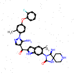 Cc1cc2cc(C(=O)c3cnn(-c4ccc(Oc5ccccc5F)cc4C)c3N)[nH]c2cc1N1C(=N)C2(CCNCC2)NC1=O